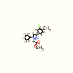 COC(=O)Cn1nc(-c2ccc(C)c(F)c2)cc1-c1ccccc1